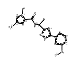 CCOc1cc(-c2noc(C(C)NC(=O)c3cc(C(F)(F)F)nn3C)n2)ccn1